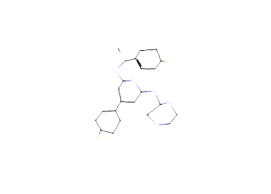 C[C@H](NC1CC(C2CCC(F)CC2)CC(NC2CNCCN2)N1)C1=CCC(F)CC1